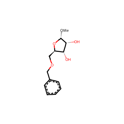 CO[C@H]1O[C@H](COCc2ccccc2)[C@@H](O)[C@H]1O